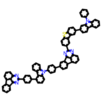 c1ccc(-n2c3ccccc3c3ccc(-c4ccc5sc6ccc(-c7nc8c9c(cccc9n7)-c7ccc(-c9ccc(-n%10c%11ccccc%11c%11c(-c%12ccc(-c%13nc%14c%15c(cccc%15n%13)-c%13ccccc%13-%14)cc%12)cccc%11%10)cc9)cc7-8)cc6c5c4)cc32)cc1